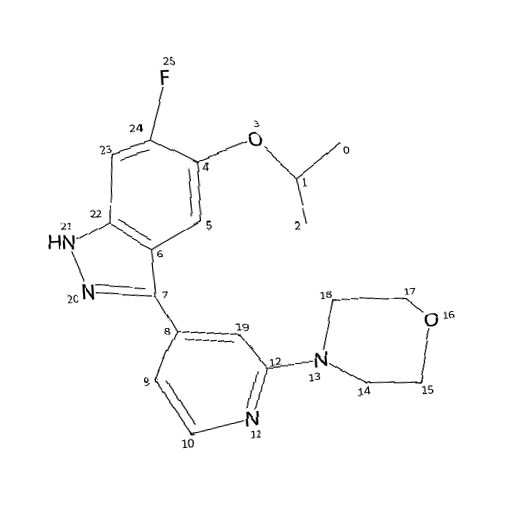 CC(C)Oc1cc2c(-c3ccnc(N4CCOCC4)c3)n[nH]c2cc1F